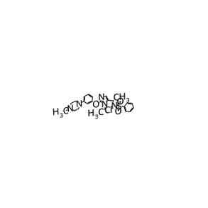 CCn1c(C(C)N(Cl)S(=O)(=O)c2ccccc2)cnc1Oc1cccc(N2CCN(C)CC2)c1